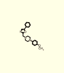 COc1ccc(N2CCN(Cc3ncc(-c4ccccc4)o3)CC2)cc1